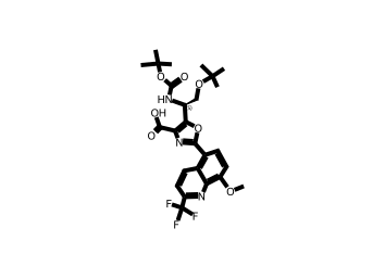 COc1ccc(-c2nc(C(=O)O)c([C@H](COC(C)(C)C)NC(=O)OC(C)(C)C)o2)c2ccc(C(F)(F)F)nc12